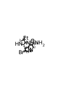 CC[C@@H]1CNC[C@H]1Nc1c(C(N)=O)cnn2cc(Br)cc12